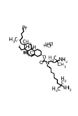 CC(C)CCC[C@@H](C)[C@H]1CC[C@H]2[C@@H]3CC=C4C[C@@H](OC(=O)N(CCCCCCCC(C)(C)N)CCC(C)(C)N)CC[C@]4(C)[C@H]3CC[C@]12C.Cl.Cl